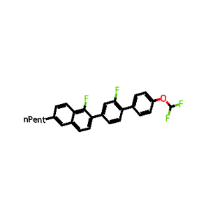 CCCCCc1ccc2c(F)c(-c3ccc(-c4ccc(OC(F)F)cc4)c(F)c3)ccc2c1